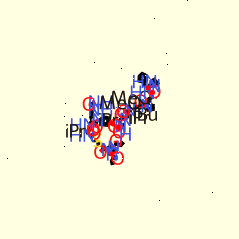 C=CC(=O)N1CN(C(=O)C=C)CN(C(=O)CCSCC(=O)N[C@H](C(=O)N[C@@H](CCCNC(N)=O)C(=O)Nc2ccc(COC(=O)N(C)[C@H](C(=O)N[C@H](C(=O)N(C)[C@@H]([C@@H](C)CC)[C@@H](CC(=O)N3CCC[C@H]3[C@H](OC)[C@@H](C)C(=O)N[C@@H](Cc3ccccc3)c3ncc[nH]3)OC)C(C)C)C(C)C)cc2)C(C)C)C1